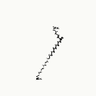 CCCCCCCCCCCCCCCCCCCCCCCCCCCCCCCCC(=O)OCCCCCCCCCCCCCC